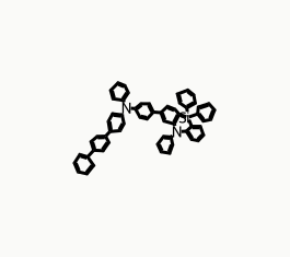 c1ccc(-c2ccc(-c3ccc(N(c4ccccc4)c4ccc(-c5ccc6c(c5)N(c5ccccc5)c5ccccc5[Si]6(c5ccccc5)c5ccccc5)cc4)cc3)cc2)cc1